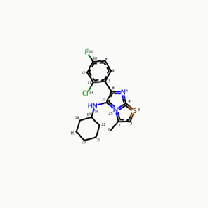 Cc1csc2nc(-c3ccc(F)cc3Cl)c(NC3CCCCC3)n12